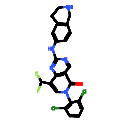 O=c1c2cnc(Nc3ccc4c(c3)CCNC4)nc2c(C(F)F)cn1-c1c(Cl)cccc1Cl